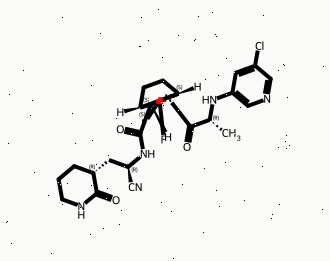 C[C@@H](Nc1cncc(Cl)c1)C(=O)N1[C@H]2CC[C@@H]([C@H]1C(=O)N[C@@H](C#N)C[C@H]1CCCNC1=O)C(F)(F)C2